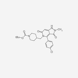 Cn1[nH]c2cc(=O)n(CC3CCN(C(=O)OC(C)(C)C)CC3)c(-c3ccc(Cl)cc3)c2c1=O